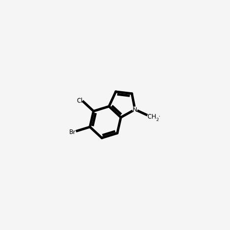 [CH2]n1ccc2c(Cl)c(Br)ccc21